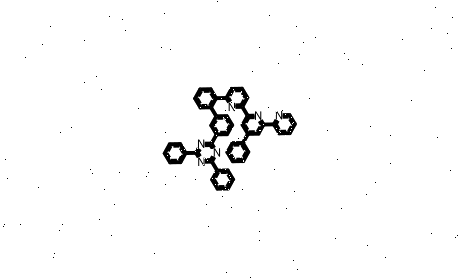 c1ccc(-c2cc(-c3ccccn3)nc(-c3cccc(-c4ccccc4-c4cccc(-c5nc(-c6ccccc6)nc(-c6ccccc6)n5)c4)n3)c2)cc1